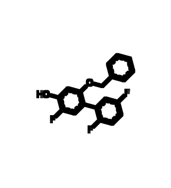 Oc1cc(OCc2ccccc2)c(-c2cc(F)ccc2F)cc1F